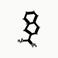 C=C(C)c1ccc2ccccc2c1